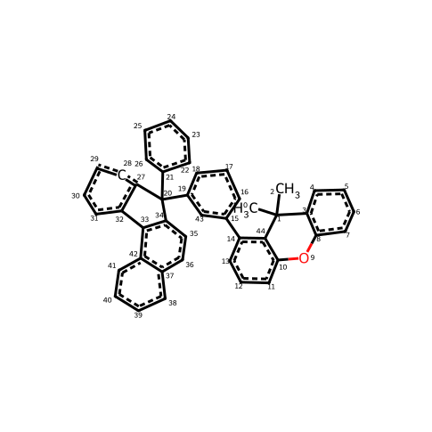 CC1(C)c2ccccc2Oc2cccc(-c3cccc(C4(c5ccccc5)c5ccccc5-c5c4ccc4ccccc54)c3)c21